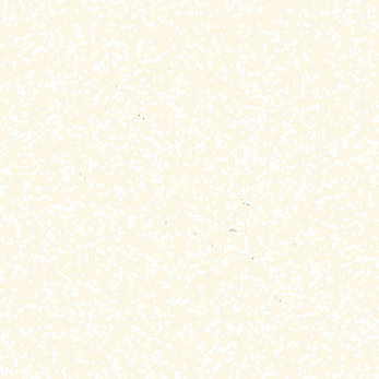 Cc1ccc2c(c1)c1cc(C)ccc1n2-c1c(-n2c3ccccc3c3c4cc(-c5ccc6c7ccccc7n(-c7c(-n8c9ccccc9c9ccc%10ccccc%10c98)ccc(C#N)c7C#N)c6c5)ccc4ccc32)ccc(C#N)c1C#N